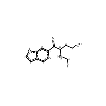 O=C(c1ccc2ccoc2c1)C(CCO)NCF